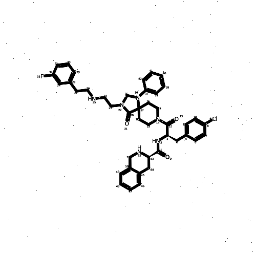 O=C(N[C@H](Cc1ccc(Cl)cc1)C(=O)N1CCC2(CC1)C(=O)N(CCNCCc1cccc(F)c1)CN2c1ccccc1)[C@H]1Cc2ccccc2CN1